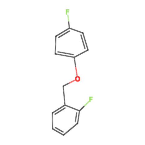 Fc1ccc(OCc2ccccc2F)cc1